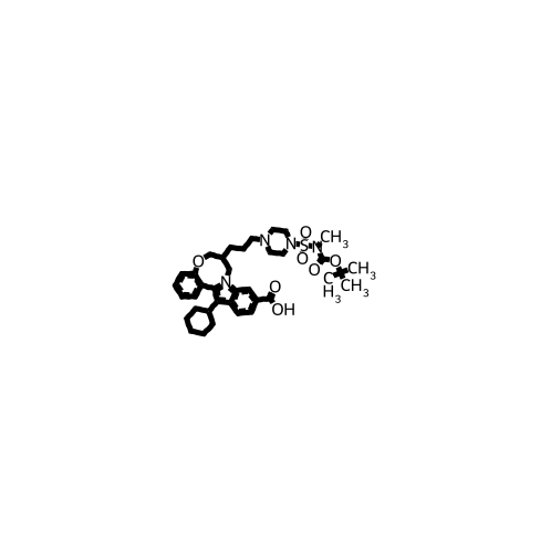 CN(C(=O)OC(C)(C)C)S(=O)(=O)N1CCN(CCCC2COc3ccccc3-c3c(C4CCCCC4)c4ccc(C(=O)O)cc4n3C2)CC1